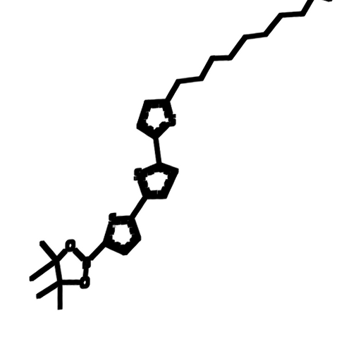 CCCCCCCCCCc1ccc(-c2ccc(-c3ccc(B4OC(C)(C)C(C)(C)O4)s3)s2)s1